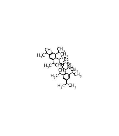 CC(C)c1cc(C(C)C)c(C(N)C[N](CC(N)c2c(C(C)C)cc(C(C)C)cc2C(C)C)[Co]([Br])[Br])c(C(C)C)c1